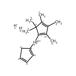 CC1=C(C)C(C)(C)[C]([Hf+2][C]2=CC=CC2)=C1C.[H-].[H-]